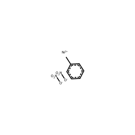 Cc1ccccc1.O=[N+]([O-])[O-].O=[N+]([O-])[O-].[Ni+2]